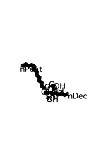 CCCCC/C=C\C/C=C\CCCCCCCC(=O)O[C@@H](CO)C(OP(=O)(O)O)C(=O)CCCCCCCCCCCCCCC